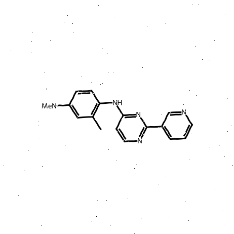 CNc1ccc(Nc2ccnc(-c3cccnc3)n2)c(C)c1